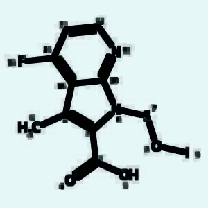 Cc1c(C(=O)O)n(SOI)c2nccc(F)c12